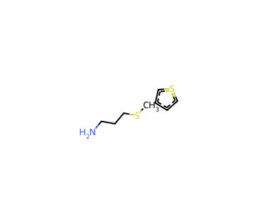 CSCCCN.c1ccsc1